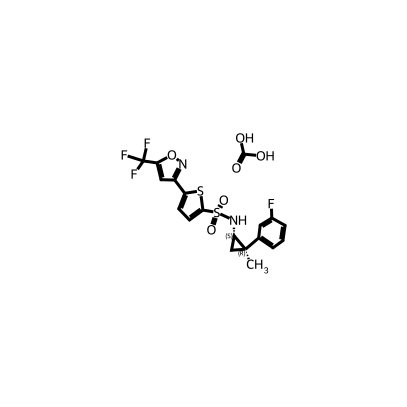 C[C@]1(c2cccc(F)c2)C[C@@H]1NS(=O)(=O)c1ccc(-c2cc(C(F)(F)F)on2)s1.O=C(O)O